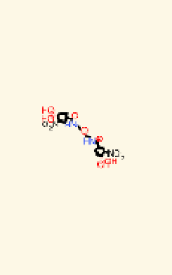 O=C(NCCOCCNC(=O)c1ccc(B(O)O)c([N+](=O)[O-])c1)c1ccc(B(O)O)c([N+](=O)[O-])c1